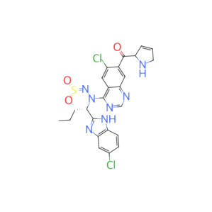 CCC[C@@H](c1nc2cc(Cl)ccc2[nH]1)N(N=S(=O)=O)c1ncnc2cc(C(=O)C3C=CCN3)c(Cl)cc12